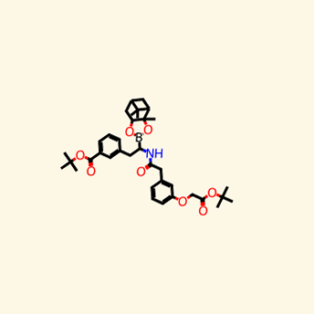 CC(C)(C)OC(=O)COc1cccc(CC(=O)NC(Cc2cccc(C(=O)OC(C)(C)C)c2)B2OC3CC4CC(C4(C)C)C3(C)O2)c1